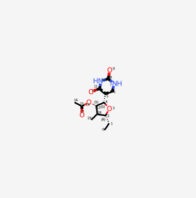 CC[C@H]1O[C@@H](c2c[nH]c(=O)[nH]c2=O)[C@@H](OC(C)=O)C1C